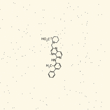 Cc1c(Nc2nccc3nc(CN4CCCC[C@H]4C(=O)O)cnc23)cccc1-c1ccccc1